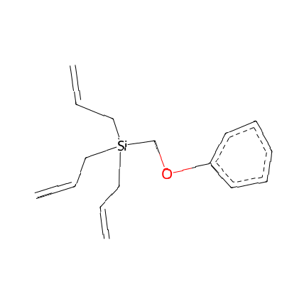 C=CC[Si](CC=C)(CC=C)COc1ccccc1